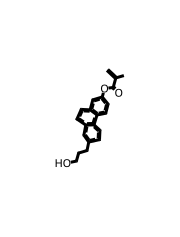 C=C(C)C(=O)Oc1ccc2c(ccc3cc(CCCO)ccc32)c1